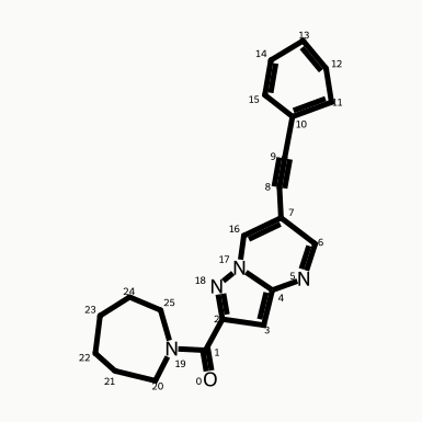 O=C(c1cc2ncc(C#Cc3ccccc3)cn2n1)N1CCCCCC1